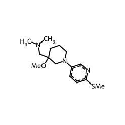 COC1(CN(C)C)CCCN(c2ccc(SC)nc2)C1